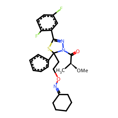 CO[C@@H](C)C(=O)N1N=C(c2cc(F)ccc2F)SC1(CCON=C1CCCCC1)c1ccccc1